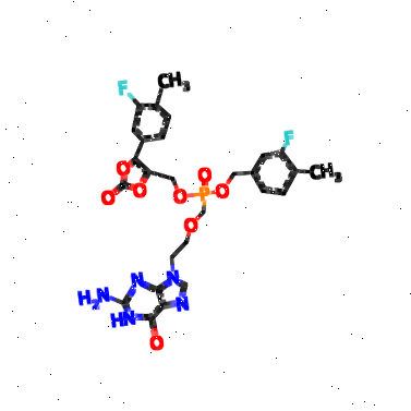 Cc1ccc(COP(=O)(COCCn2cnc3c(=O)[nH]c(N)nc32)OCc2oc(=O)oc2-c2ccc(C)c(F)c2)cc1F